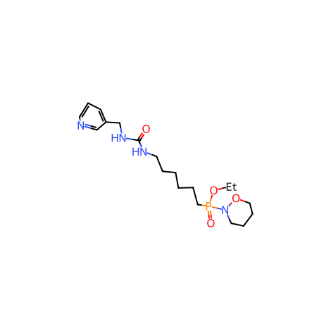 CCOP(=O)(CCCCCCNC(=O)NCc1cccnc1)N1CCCCO1